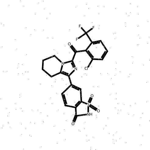 O=C1NS(=O)(=O)c2cc(-c3nc(C(=O)c4c(Cl)cccc4C(F)(F)F)n4c3CCCC4)ccc21